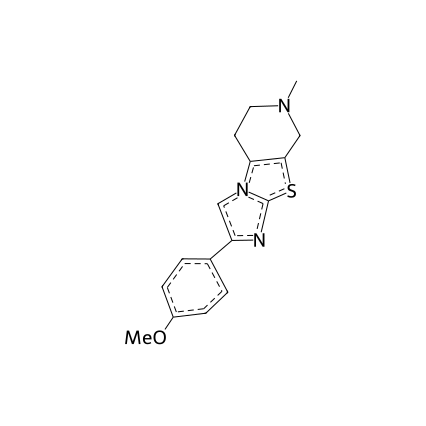 COc1ccc(-c2cn3c4c(sc3n2)CN(C)CC4)cc1